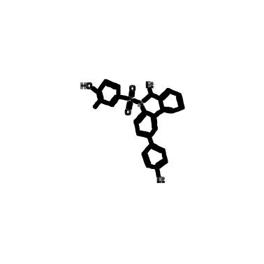 CCc1ccc(-c2ccc3c(c2)-c2ccccc2C(CC)N3S(=O)(=O)c2ccc(O)c(C)c2)cc1